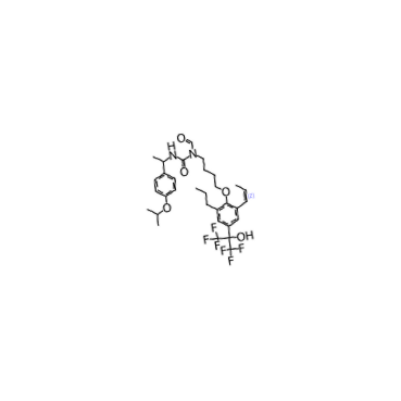 C/C=C\c1cc(C(O)(C(F)(F)F)C(F)(F)F)cc(CCC)c1OCCCCN(C=O)C(=O)NC(C)c1ccc(OC(C)C)cc1